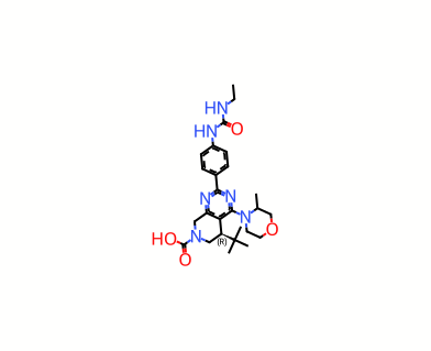 CCNC(=O)Nc1ccc(-c2nc3c(c(N4CCOCC4C)n2)[C@@H](C(C)(C)C)CN(C(=O)O)C3)cc1